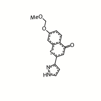 COCOc1ccc2c(=O)cc(-c3cc[nH]n3)sc2c1